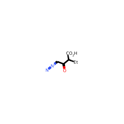 CCC(C(=O)O)C(=O)C=[N+]=[N-]